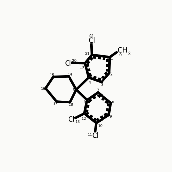 Cc1ccc(C2(c3cccc(Cl)c3Cl)CCCCC2)c(Cl)c1Cl